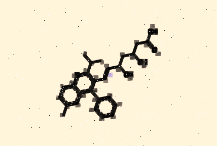 Cc1ccc2nc(C(C)C)c(/C=C/C(O)CC(O)CC(=O)O)c(-c3ccccc3)c2c1